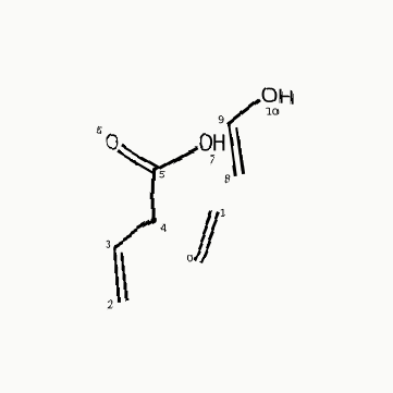 C=C.C=CCC(=O)O.C=CO